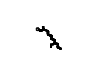 CCCC(F)CCCCCC(C)C=O